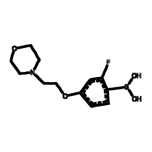 OB(O)c1ccc(OCCN2CCOCC2)cc1F